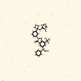 Cn1cnnc1CC1(c2cccc(N3Cc4c(cc(C(O)c5ccccc5)cc4C(F)(F)F)C3=O)c2)COC1